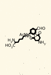 CC(=O)Nc1ccc(C=O)cc1.N.NCCCC[C@H](N)C(=O)O.O=C1CCCC(=O)O1